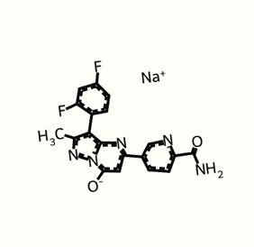 Cc1nn2c([O-])cc(-c3ccc(C(N)=O)nc3)nc2c1-c1ccc(F)cc1F.[Na+]